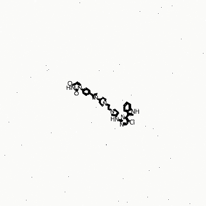 O=c1ccn(-c2ccc(C3CN(C4CCN(CCN5CCC(Nc6ncc(Cl)c(-c7c[nH]c8ccccc78)n6)C5)CC4)C3)cc2)c(=O)[nH]1